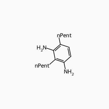 CCCCCc1ccc(N)c(CCCCC)c1N